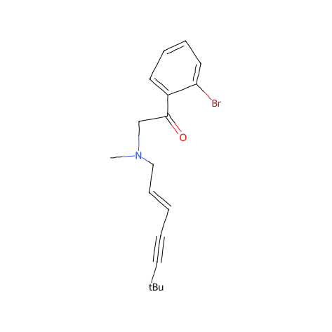 CN(CC=CC#CC(C)(C)C)CC(=O)c1ccccc1Br